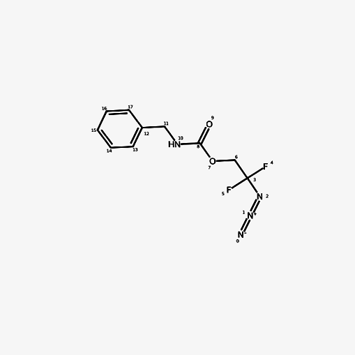 [N-]=[N+]=NC(F)(F)COC(=O)NCc1ccccc1